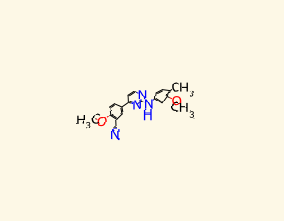 COc1cc(Nc2nccc(-c3ccc(OC)c(C#N)c3)n2)ccc1C